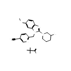 COc1ccc2nc(N3CCCC(N)C3)n(Cc3ccc(C#N)cn3)c2c1.O=C(O)C(F)(F)F